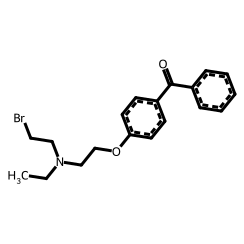 CCN(CCBr)CCOc1ccc(C(=O)c2ccccc2)cc1